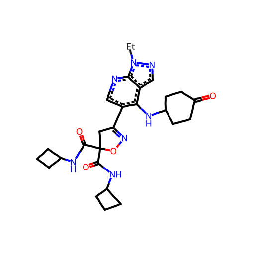 CCn1ncc2c(NC3CCC(=O)CC3)c(C3=NOC(C(=O)NC4CCC4)(C(=O)NC4CCC4)C3)cnc21